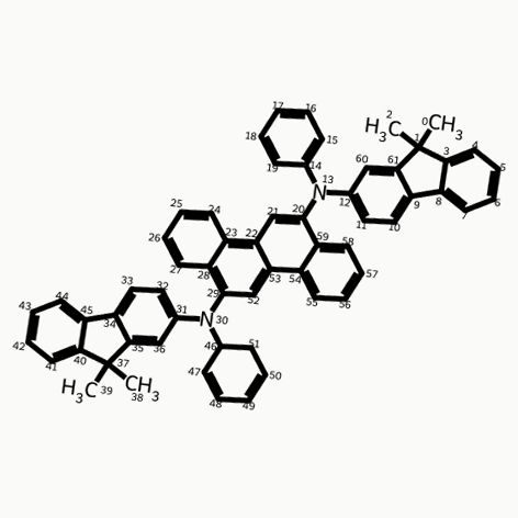 CC1(C)c2ccccc2-c2ccc(N(c3ccccc3)c3cc4c5ccccc5c(N(c5ccc6c(c5)C(C)(C)c5ccccc5-6)C5C=CC=CC5)cc4c4ccccc34)cc21